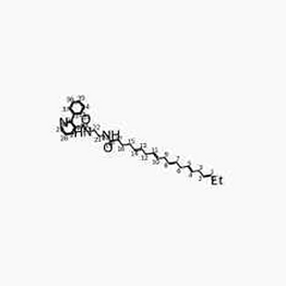 CCC=CCC=CCC=CCC=CCC=CCCCC(=O)NCCNC(=O)c1cccnc1-c1ccccc1